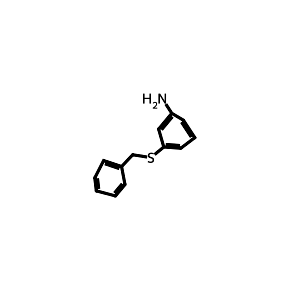 Nc1cccc(SCc2ccccc2)c1